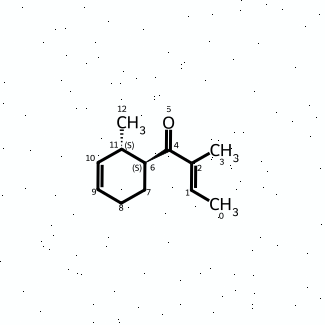 CC=C(C)C(=O)[C@H]1CCC=C[C@@H]1C